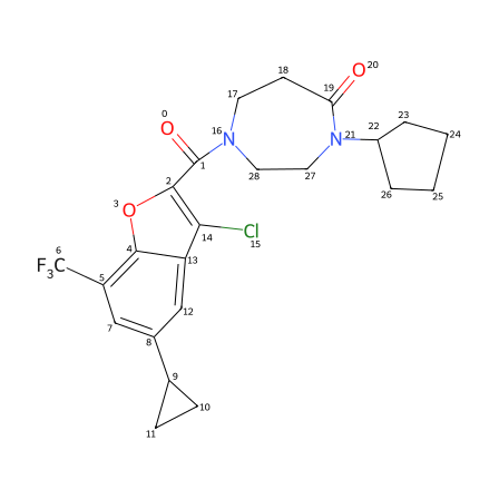 O=C(c1oc2c(C(F)(F)F)cc(C3CC3)cc2c1Cl)N1CCC(=O)N(C2CCCC2)CC1